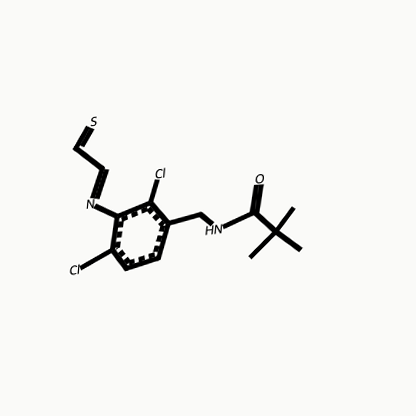 CC(C)(C)C(=O)NCc1ccc(Cl)c(N=CC=S)c1Cl